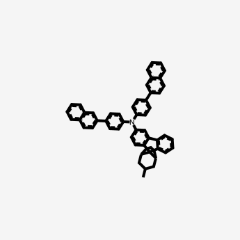 CC1CC2CCCC(C1)C21c2ccccc2-c2cc(N(c3ccc(-c4ccc5ccccc5c4)cc3)c3ccc(-c4ccc5ccccc5c4)cc3)ccc21